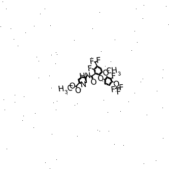 COC(=O)c1ccc(NC(=O)c2c(Oc3ccc(OC(F)(F)F)c(F)c3OC)ccc(C(F)F)c2F)cn1